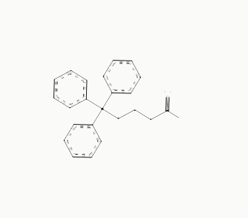 O=C(O)CCCC(c1ccccc1)(c1ccccc1)c1ccccc1